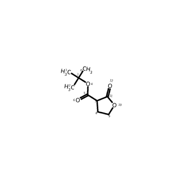 CC(C)(C)OC(=O)C1CCOC1=O